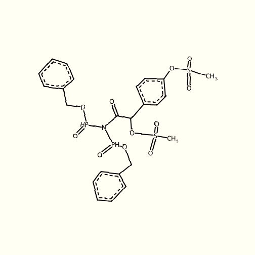 CS(=O)(=O)Oc1ccc(C(OS(C)(=O)=O)C(=O)N([PH](=O)OCc2ccccc2)[PH](=O)OCc2ccccc2)cc1